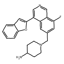 NC1CCN(Cc2cc(F)c3cncc(-c4cc5ccccc5o4)c3c2)CC1